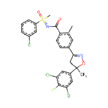 Cc1cc(C2=NOC(c3cc(Cl)c(F)c(Cl)c3)(C(F)(F)F)C2)ccc1C(=O)N=S(C)(=O)c1cccc(Cl)c1